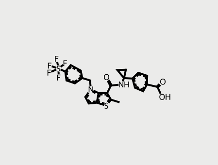 Cc1sc2ccn(Cc3ccc(S(F)(F)(F)(F)F)cc3)c2c1C(=O)NC1(c2ccc(C(=O)O)cc2)CC1